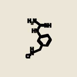 N=C(N)Nc1cccc(CNCl)c1